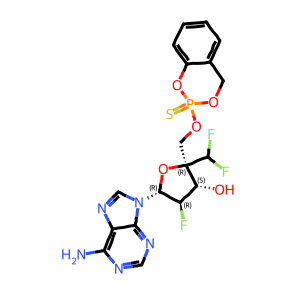 Nc1ncnc2c1ncn2[C@@H]1O[C@@](COP2(=S)OCc3ccccc3O2)(C(F)F)[C@H](O)[C@H]1F